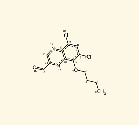 CCCCOc1c(Cl)cc(Cl)c2ncc(C=O)nc12